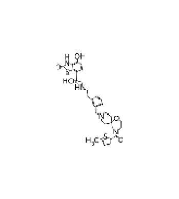 Cc1ccc(C(=O)N2CCOC3(CCN(Cc4cccc(CCNC[C@H](O)c5ccc(O)c6[nH]c(=O)sc56)c4)CC3)C2)s1